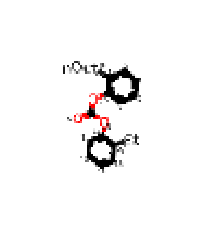 CCCCCCCCc1ccccc1OC(=O)Oc1ccccc1CC